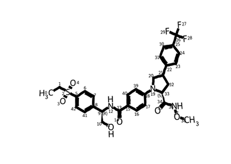 CCS(=O)(=O)c1ccc([C@H](CO)NC(=O)c2ccc(N3CC(c4ccc(C(F)(F)F)cc4)C[C@H]3C(=O)NOC)cc2)cc1